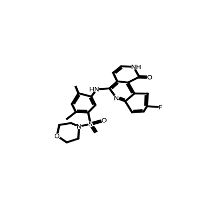 C=S(=O)(c1cc(Nc2nc3ccc(F)cc3c3c(=O)[nH]ccc23)c(C)cc1C)N1CCOCC1